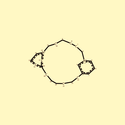 c1cc2c[n+](c1)CCCCCC[n+]1cccc(c1)CCCCCC2